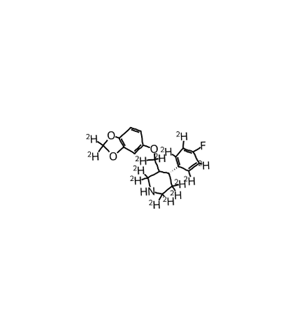 [2H]c1c([2H])c([C@H]2C(C([2H])([2H])Oc3ccc4c(c3)OC([2H])([2H])O4)C([2H])([2H])NC([2H])([2H])C2([2H])[2H])c([2H])c([2H])c1F